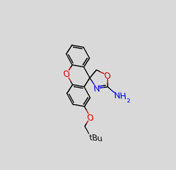 CC(C)(C)COc1ccc2c(c1)C1(COC(N)=N1)c1ccccc1O2